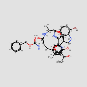 COC(=O)c1nc(-c2nc3oc2C24c5cc(ccc5OC2Nc2c(Br)cccc24)C[C@H](NC(=O)OCc2ccccc2)C(=O)N[C@H]3C(C)C)oc1C